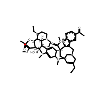 CCC1=C[C@H]2CN(C1)Cc1c([nH]c3ccc(C(C)=O)cc13)[C@@](C(=O)OC)(C1C=C3C(=CC1OC)N(C)[C@H]1[C@@](O)(C(=O)OC)[C@H](OC(C)=O)C4[C@@H](CC)CCN5CC[C@]31[C@H]45)C2